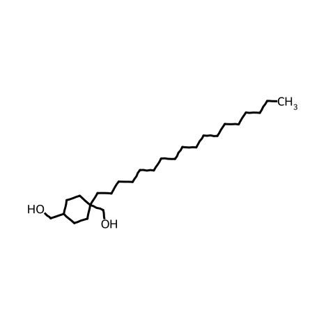 CCCCCCCCCCCCCCCCCCC1(CO)CCC(CO)CC1